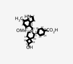 COc1cc(C)c2[nH]ccc2c1CN1CCC2(CC(O)C2)C[C@@H]1c1ccc(C(=O)O)cc1